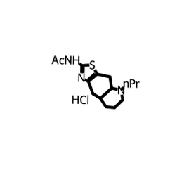 CCCN1CCCC2Cc3nc(NC(C)=O)sc3CC21.Cl